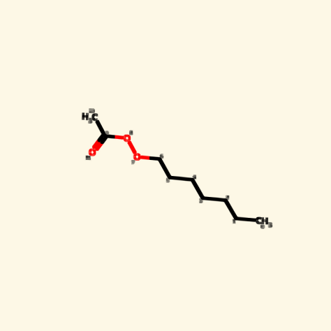 CCCCCCCOOC(C)=O